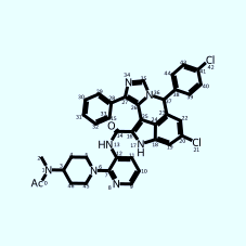 CC(=O)N(C)C1CCN(c2ncccc2NC(=O)c2[nH]c3cc(Cl)cc4c3c2-c2c(-c3ccccc3)ncn2C4c2ccc(Cl)cc2)CC1